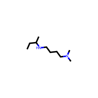 CCC(C)NCCCCN(C)C